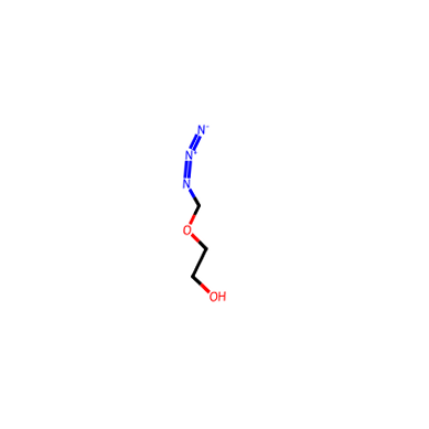 [N-]=[N+]=NCOCCO